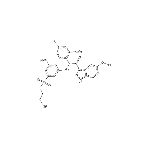 COc1cc(NC(C(=O)c2c[nH]c3ccc(OC(F)(F)F)cc23)c2ccc(F)cc2OC)cc(S(=O)(=O)CCCO)c1